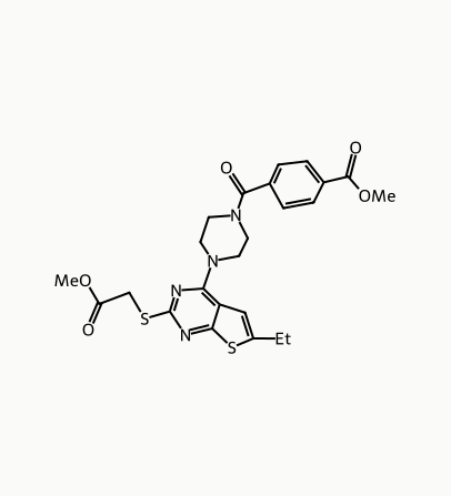 CCc1cc2c(N3CCN(C(=O)c4ccc(C(=O)OC)cc4)CC3)nc(SCC(=O)OC)nc2s1